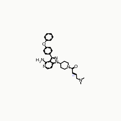 CN(C)C/C=C/C(=O)N1CCC(n2nc(-c3ccc(Oc4ccccc4)cc3)c3c(N)nccc32)CC1